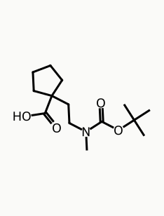 CN(CCC1(C(=O)O)CCCC1)C(=O)OC(C)(C)C